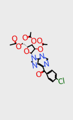 CC(=O)OC[C@H]1O[C@@H](n2cnc3c(C(=O)c4ccc(Cl)cc4)ncnc32)[C@H](OC(C)=O)[C@@H]1OC(C)=O